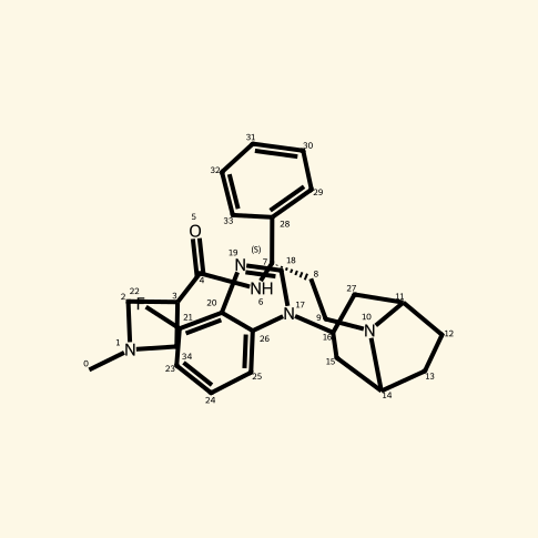 CN1CC(C(=O)N[C@@H](CCN2C3CCC2CC(n2cnc4c(F)cccc42)C3)c2ccccc2)C1